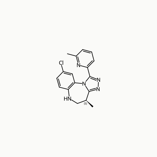 Cc1cccc(-c2nnc3n2-c2cc(Cl)ccc2NC[C@@H]3C)n1